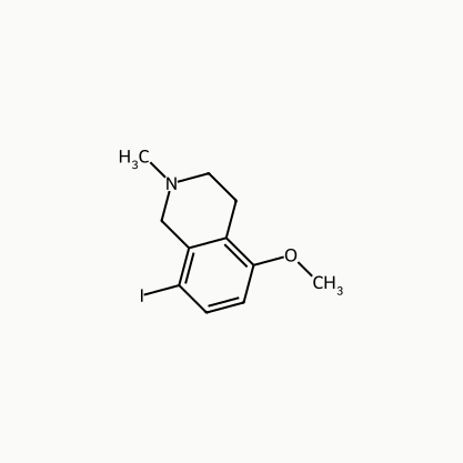 COc1ccc(I)c2c1CCN(C)C2